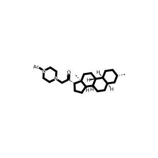 CC(=O)N1CCN(CC(=O)[C@H]2CC[C@H]3[C@@H]4CC[C@@H]5C[C@@H](C)CC[C@@H]5[C@H]4CC[C@]23C)CC1